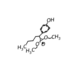 CCCCC(c1ccc(O)cc1)P(=O)(OCC)OCC